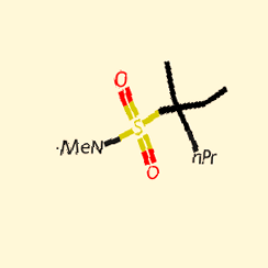 CCCC(C)(C)S(=O)(=O)[N]C